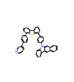 c1cncc(-c2ccc(-c3cccc4c3sc3c(-c5ccc(-n6c7ccccc7c7cc8ccccc8cc76)cc5)cccc34)cc2)c1